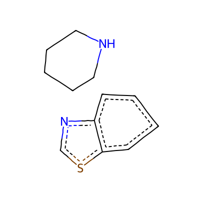 C1CCNCC1.c1ccc2scnc2c1